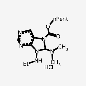 CCCCCOC(=O)N1c2cncnc2N(NCC)C1N(C)C.Cl